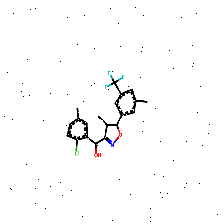 Cc1cc(C2ON=C(C(O)c3cc(C)ccc3Cl)C2C)cc(C(F)(F)F)c1